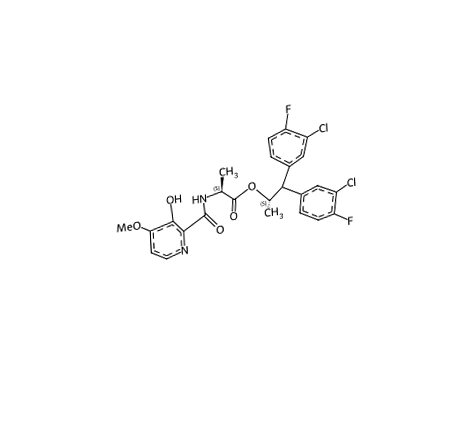 COc1ccnc(C(=O)N[C@@H](C)C(=O)O[C@@H](C)C(c2ccc(F)c(Cl)c2)c2ccc(F)c(Cl)c2)c1O